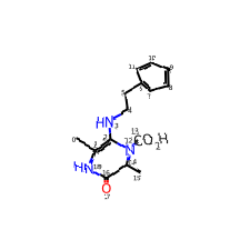 CC1=C(NCCc2ccccc2)N(C(=O)O)C(C)C(=O)N1